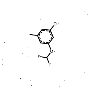 Cc1cc(O)cc(OC(F)F)c1